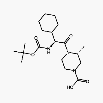 C[C@@H]1CN(C(=O)O)CCN1C(=O)[C@@H](NC(=O)OC(C)(C)C)C1CCCCC1